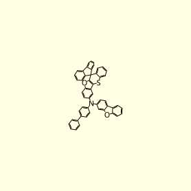 c1ccc(-c2ccc(N(c3ccc4c(c3)oc3ccccc34)c3ccc4oc5c(c4c3)Sc3ccccc3C53c4ccccc4-c4ccccc43)cc2)cc1